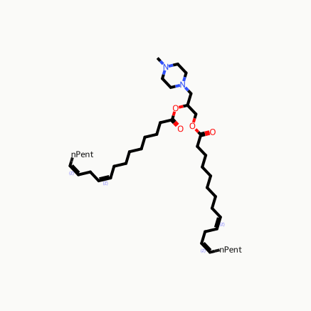 CCCCC/C=C\C/C=C\CCCCCCCC(=O)OCC(CN1CCN(C)CC1)OC(=O)CCCCCCC/C=C\C/C=C\CCCCC